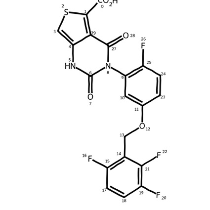 O=C(O)c1scc2[nH]c(=O)n(-c3cc(OCc4c(F)ccc(F)c4F)ccc3F)c(=O)c12